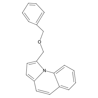 c1ccc(COCc2ccc3ccc4ccccc4n23)cc1